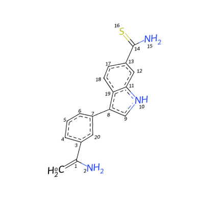 C=C(N)c1cccc(-c2c[nH]c3cc(C(N)=S)ccc23)c1